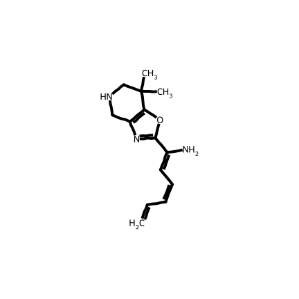 C=C/C=C\C=C(/N)c1nc2c(o1)C(C)(C)CNC2